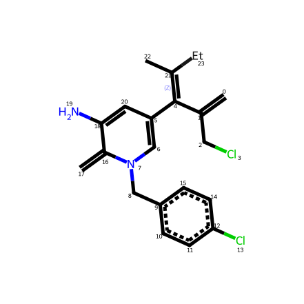 C=C(CCl)/C(C1=CN(Cc2ccc(Cl)cc2)C(=C)C(N)=C1)=C(/C)CC